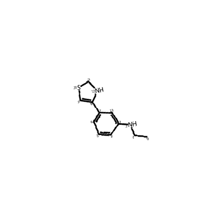 CCNc1cccc(C2=CSCN2)c1